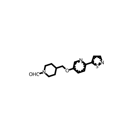 O=CN1CCC(COc2ccc(-c3ccns3)nc2)CC1